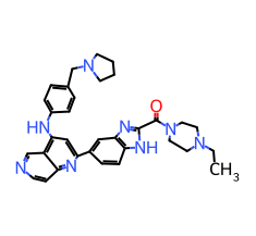 CCN1CCN(C(=O)c2nc3cc(-c4cc(Nc5ccc(CN6CCCC6)cc5)c5cnccc5n4)ccc3[nH]2)CC1